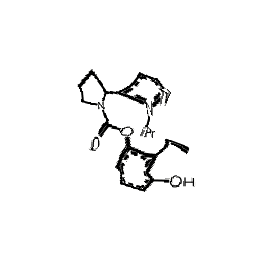 C=Cc1c(O)cccc1OC(=O)N1CCCC1c1ccnn1C(C)C